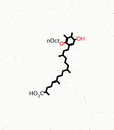 CCCCCCCCOC1=C(C)C(C)C(O)C=C1CCC(C)CCCC(C)CCC/C(C)=C/CCC(C)C(=O)O